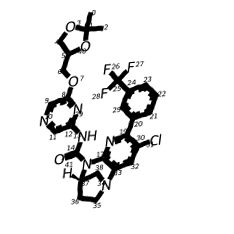 CC1(C)OCC(COc2cncc(NC(=O)N3c4nc(-c5cccc(C(F)(F)F)c5)c(Cl)cc4N4CC[C@H]3C4)n2)O1